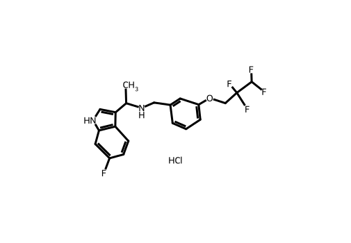 CC(NCc1cccc(OCC(F)(F)C(F)F)c1)c1c[nH]c2cc(F)ccc12.Cl